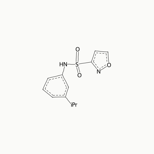 CC(C)c1cccc(NS(=O)(=O)c2ccon2)c1